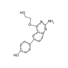 Nc1nc(OCCO)c2cc(-c3ccc(O)cc3)ccc2n1